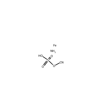 N.N#COS(=O)(=O)O.[Fe]